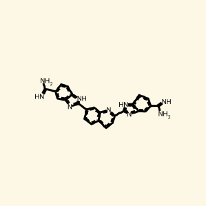 N=C(N)c1ccc2[nH]c(-c3ccc4ccc(-c5nc6cc(C(=N)N)ccc6[nH]5)nc4c3)nc2c1